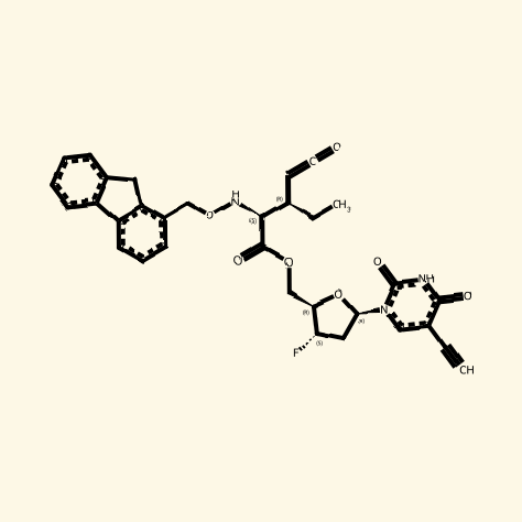 C#Cc1cn([C@H]2C[C@H](F)[C@@H](COC(=O)[C@@H](NOCc3cccc4c3Cc3ccccc3-4)[C@@H](C=C=O)CC)O2)c(=O)[nH]c1=O